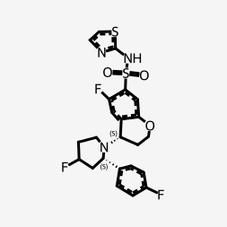 O=S(=O)(Nc1nccs1)c1cc2c(cc1F)[C@@H](N1CCC(F)C[C@H]1c1ccc(F)cc1)CCO2